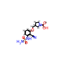 N#Cc1c(NS(N)(=O)=O)cccc1OCC1CCN(C(=O)O)C1